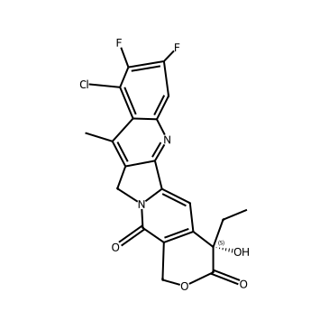 CC[C@@]1(O)C(=O)OCc2c1cc1n(c2=O)Cc2c-1nc1cc(F)c(F)c(Cl)c1c2C